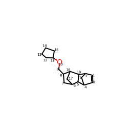 C1=CC2CC1C1C3CC(COC4CCCC4)C(C3)C21